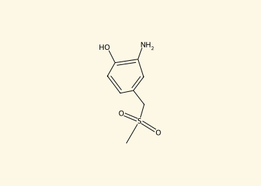 CS(=O)(=O)Cc1ccc(O)c(N)c1